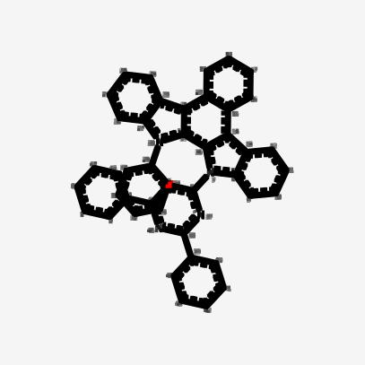 c1ccc(-c2cc(-n3c4ccccc4c4c5ccccc5c5c6ccccc6n(-c6ccccc6)c5c43)nc(-c3ccccc3)n2)cc1